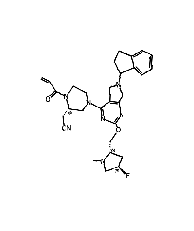 C=CC(=O)N1CCN(c2nc(OC[C@@H]3C[C@@H](F)CN3C)nc3c2CN(C2CCc4ccccc42)C3)C[C@@H]1CC#N